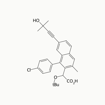 Cc1cc2ccc(C#CC(C)(C)O)cc2c(-c2ccc(Cl)cc2)c1C(OC(C)(C)C)C(=O)O